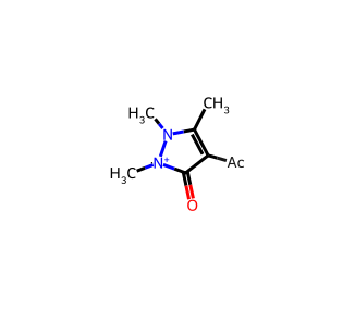 CC(=O)C1=C(C)N(C)[N+](C)C1=O